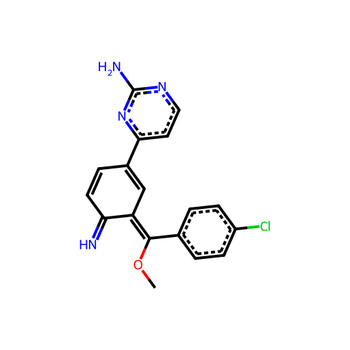 CO/C(=C1/C=C(c2ccnc(N)n2)C=CC1=N)c1ccc(Cl)cc1